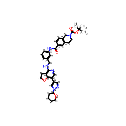 CC(C)(C)OC(=O)N1CCc2cc(C(=O)Nc3cccc(CNc4ncc(-c5cnn(C6CCCCO6)c5)c5c4CCO5)c3)ccc2C1